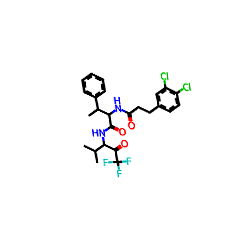 CC(C)C(NC(=O)C(NC(=O)CCc1ccc(Cl)c(Cl)c1)C(C)c1ccccc1)C(=O)C(F)(F)F